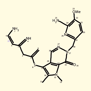 C=C(CC(=N)/C=C\N)Sc1c(C)n(C)c2c(=O)n(Cc3ccc(OC)c(N)n3)ncc12